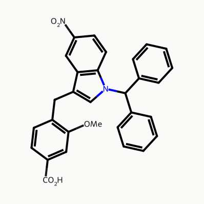 COc1cc(C(=O)O)ccc1Cc1cn(C(c2ccccc2)c2ccccc2)c2ccc([N+](=O)[O-])cc12